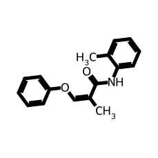 CC(=COc1ccccc1)C(=O)Nc1ccccc1C